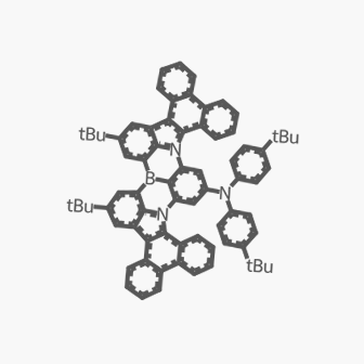 CC(C)(C)c1ccc(N(c2ccc(C(C)(C)C)cc2)c2cc3c4c(c2)-n2c5c(cc(C(C)(C)C)cc5c5c6ccccc6c6ccccc6c52)B4c2cc(C(C)(C)C)cc4c5c6ccccc6c6ccccc6c5n-3c24)cc1